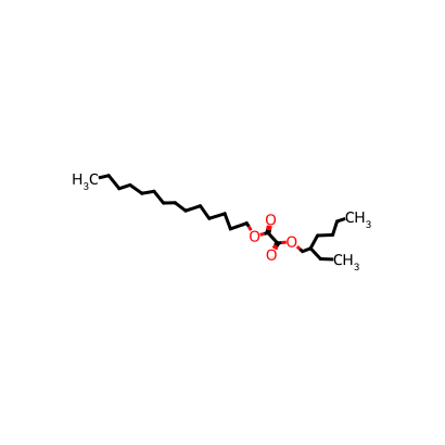 CCCCCCCCCCCCCCOC(=O)C(=O)OCC(CC)CCCC